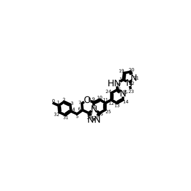 Cc1ccc(CC2COc3cc(-c4ccnc(Nc5ccnn5C)c4)cc4nnc2n34)cc1